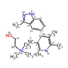 CC1=C(C#N)[C@H](c2ccc3[nH]nc(C)c3c2)C(C#N)=C(C(F)(F)F)[N-]1.C[N+](C)(C)CCO